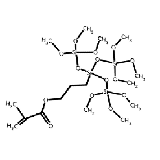 C=C(C)C(=O)OCCC[Si](O[Si](OC)(OC)OC)(O[Si](OC)(OC)OC)O[Si](OC)(OC)OC